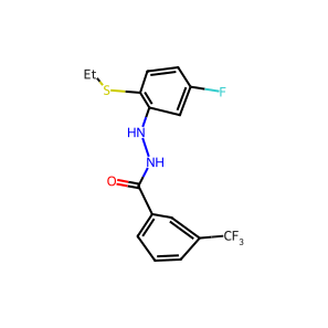 CCSc1ccc(F)cc1NNC(=O)c1cccc(C(F)(F)F)c1